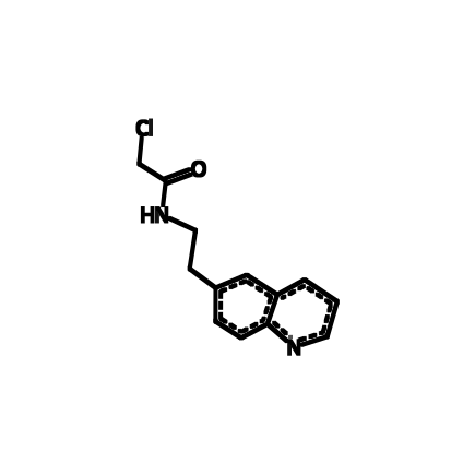 O=C(CCl)NCCc1ccc2ncccc2c1